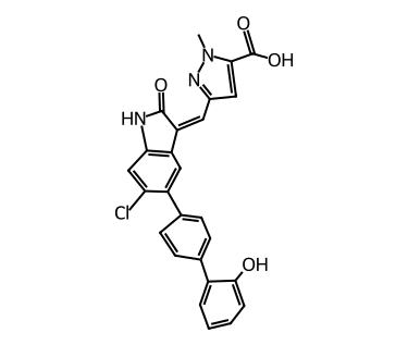 Cn1nc(/C=C2\C(=O)Nc3cc(Cl)c(-c4ccc(-c5ccccc5O)cc4)cc32)cc1C(=O)O